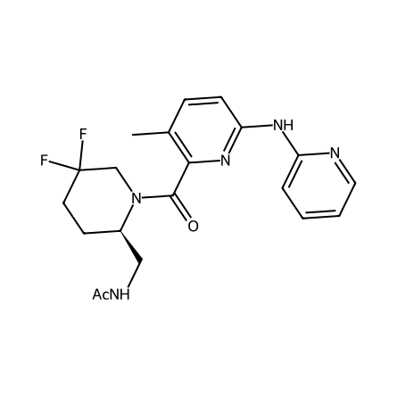 CC(=O)NC[C@H]1CCC(F)(F)CN1C(=O)c1nc(Nc2ccccn2)ccc1C